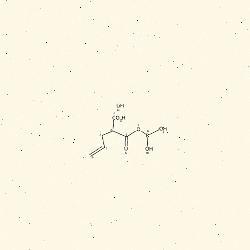 C=CCC(C(=O)O)C(=O)OB(O)O.[LiH]